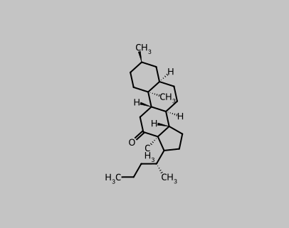 CCC[C@@H](C)C1CC[C@H]2[C@@H]3CC[C@@H]4C[C@H](C)CC[C@]4(C)[C@H]3CC(=O)[C@]12C